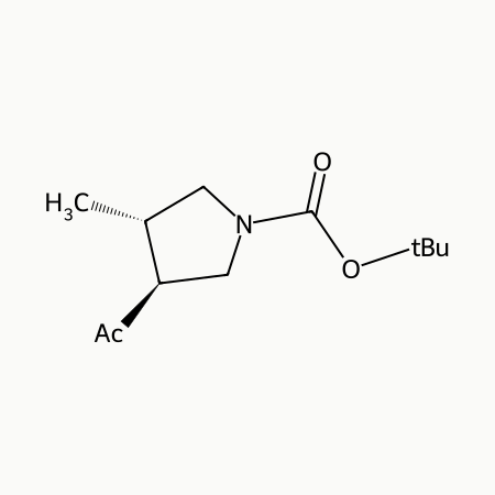 CC(=O)[C@@H]1CN(C(=O)OC(C)(C)C)C[C@H]1C